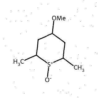 COC1CC(C)[S+]([O-])C(C)C1